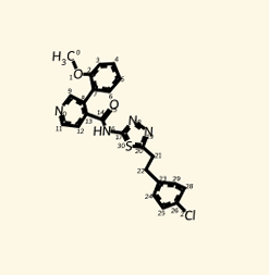 COc1ccccc1-c1cnccc1C(=O)Nc1nnc(CCc2ccc(Cl)cc2)s1